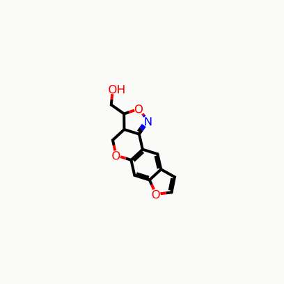 OCC1ON=C2c3cc4ccoc4cc3OCC21